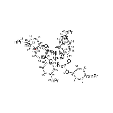 CCCc1ccc(OP(N=P(NP(Oc2ccc(CCC)cc2)Oc2ccc(CCC)cc2)(Oc2ccc(CCC)cc2)Oc2ccc(CCC)cc2)Oc2ccc(CCC)cc2)cc1